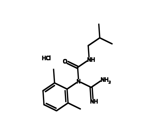 Cc1cccc(C)c1N(C(=N)N)C(=O)NCC(C)C.Cl